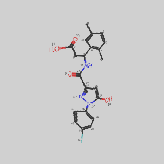 Cc1ccc(C)c(C(CC(=O)O)NC(=O)c2cc(O)n(-c3ccc(F)cc3)n2)c1